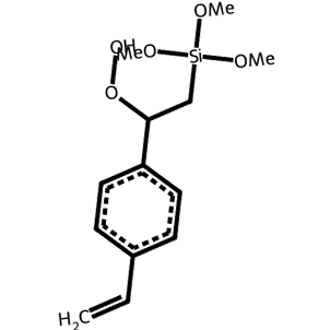 C=Cc1ccc(C(C[Si](OC)(OC)OC)OO)cc1